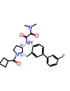 CN(C)C(=O)C(=O)N[C@H]1CCN(C(=O)C2CCC2)[C@H]1Cc1cccc(-c2cccc(F)c2)c1